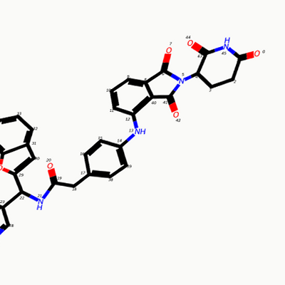 O=C1CCC(N2C(=O)c3cccc(Nc4ccc(CC(=O)NC(c5cccnc5)c5cc6ccccc6o5)cc4)c3C2=O)C(=O)N1